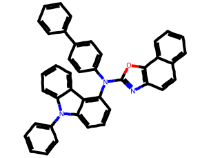 c1ccc(-c2ccc(N(c3nc4ccc5ccccc5c4o3)c3cccc4c3c3ccccc3n4-c3ccccc3)cc2)cc1